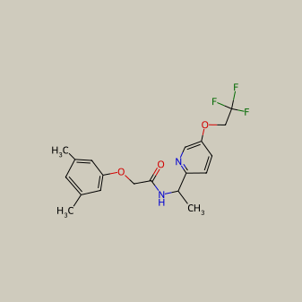 Cc1cc(C)cc(OCC(=O)NC(C)c2ccc(OCC(F)(F)F)cn2)c1